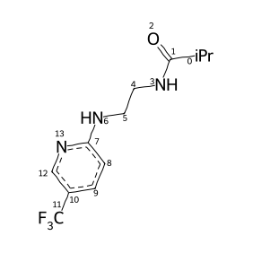 CC(C)C(=O)NCCNc1ccc(C(F)(F)F)cn1